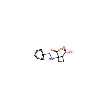 O=C(O)C1CCC1(NCc1ccccc1)C(=O)O